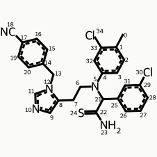 Cc1ccc(N(CCc2cncn2Cc2ccc(C#N)cc2)C(C(N)=S)c2cccc(Cl)c2)cc1Cl